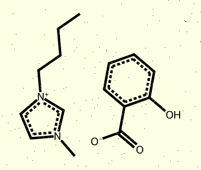 CCCC[n+]1ccn(C)c1.O=C([O-])c1ccccc1O